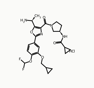 C[C@H](N)c1oc(-c2ccc(OC(F)F)c(OCC3CC3)c2)nc1C(=O)N1CC[C@@H](NC(=O)C2CC2)C1.Cl